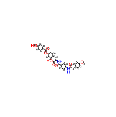 COc1ccc(CC(=O)Nc2ccc(C(=O)N[C@@H](Cc3ccc(OC(=O)c4ccc(O)cc4)cc3)C(=O)O)cc2)cc1